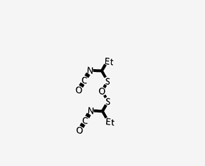 CCC(N=C=O)SOSC(CC)N=C=O